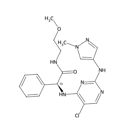 COCCNC(=O)[C@@H](Nc1nc(Nc2cnn(C)c2)ncc1Cl)c1ccccc1